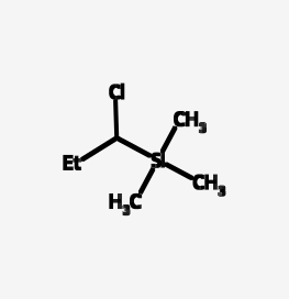 CCC(Cl)[Si](C)(C)C